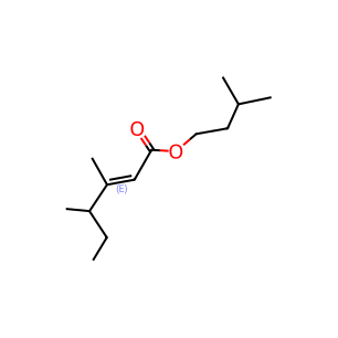 CCC(C)/C(C)=C/C(=O)OCCC(C)C